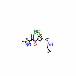 Cc1nnc(NC(=O)c2csc([C@@H]3C[C@H]3NCC3CC3)c2)s1.Cl.Cl